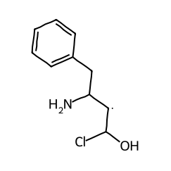 NC([CH]C(O)Cl)Cc1ccccc1